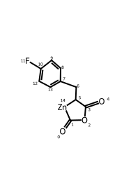 O=[C]1OC(=O)[CH](Cc2ccc(F)cc2)[Zn]1